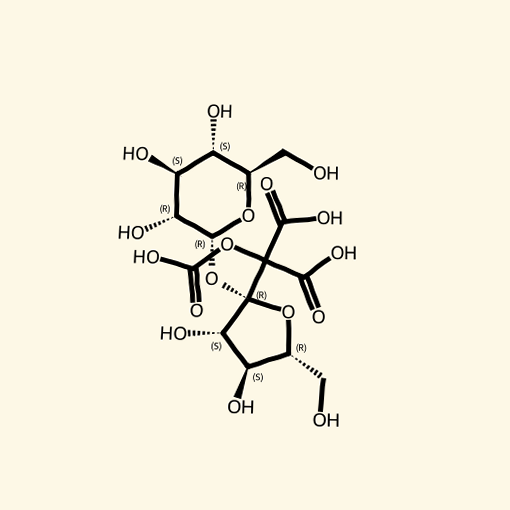 O=C(O)OC(C(=O)O)(C(=O)O)[C@@]1(O[C@H]2O[C@H](CO)[C@@H](O)[C@H](O)[C@H]2O)O[C@H](CO)[C@@H](O)[C@@H]1O